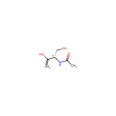 C=C(O)[C@H](CS)NC(C)=O